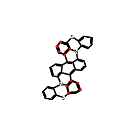 c1ccc(-c2c3cccc(N4c5ccccc5Sc5ccccc54)c3c(-c3ccccc3)c3cccc(N4c5ccccc5Sc5ccccc54)c23)cc1